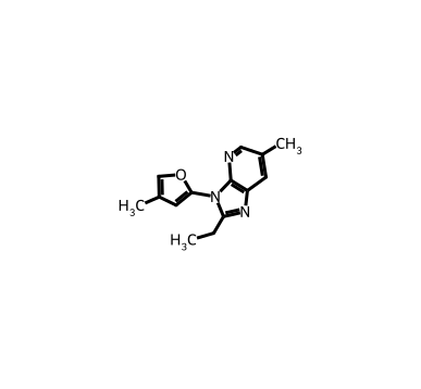 CCc1nc2cc(C)cnc2n1-c1cc(C)co1